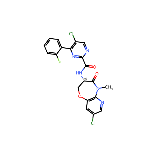 CN1C(=O)[C@@H](NC(=O)c2ncc(Cl)c(-c3ccccc3F)n2)COc2cc(Cl)cnc21